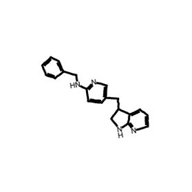 c1ccc(CNc2ccc(CC3CNc4ncccc43)cn2)cc1